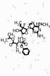 C=C[C@@]1(F)[C@H](O)[C@@H](CO[P@](=O)(NC(C)C(=O)OC(C)C)Oc2ccccc2)O[C@H]1n1cnc2c(NC)nc(N)nc21